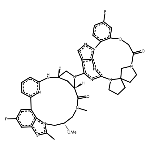 CO[C@H]1CN(C)C(=O)[C@@H]2C[C@@H](CN2c2nc3nc4c2cnn4-c2ccc(F)cc2OCC(=O)N2CCC4(CCCN34)C2)Nc2cccc(n2)-c2cc(F)cc3nc(C)n(c23)C1